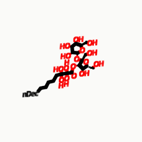 CCCCCCCCCCCCCCCC(O)(O)C(O)(O)C(=O)O[C@H]1[C@H](O)[C@@H](CO)O[C@@]1(CO)O[C@H]1O[C@H](CO)[C@@H](O)[C@H](O)[C@H]1O